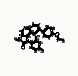 CCOc1ccc(-c2ccc3ncc4c(c3c2)n(-c2ccc(C)nc2C)c(=O)n4C)cn1